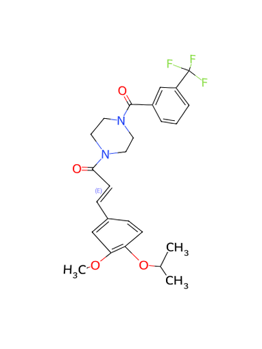 COc1cc(/C=C/C(=O)N2CCN(C(=O)c3cccc(C(F)(F)F)c3)CC2)ccc1OC(C)C